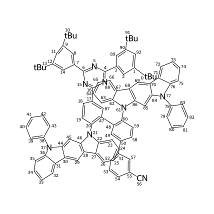 CC(C)(C)c1cc(-c2nc(-c3cc(C(C)(C)C)cc(C(C)(C)C)c3)nc(-c3ccc(-n4c5ccccc5c5cc6c7ccccc7n(-c7ccccc7)c6cc54)c(-c4cc(-c5cccc(C#N)c5)ccc4-n4c5ccccc5c5cc6c7ccccc7n(-c7ccccc7)c6cc54)c3)n2)cc(C(C)(C)C)c1